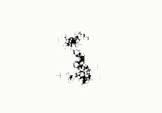 COC(=O)[C@@H](Cc1ccc(OS(=O)(=O)Oc2ccccc2O[C@@H]2O[C@H](COC(C)=O)[C@H](OC(C)=O)[C@H](OC(C)=O)[C@H]2OC(C)=O)cc1)NC(=O)OC(C)(C)C